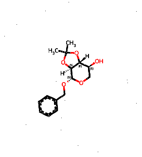 CC1(C)O[C@@H]2[C@@H](OCc3ccccc3)OC[C@H](O)[C@H]2O1